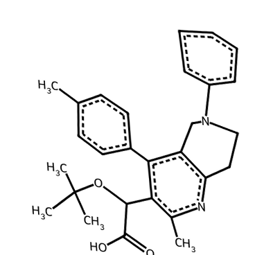 Cc1ccc(-c2c3c(nc(C)c2C(OC(C)(C)C)C(=O)O)CCN(c2ccccc2)C3)cc1